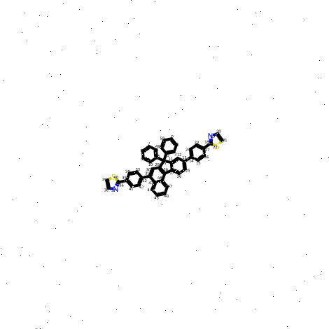 c1ccc(C2(c3ccccc3)c3cc(-c4ccc(-c5nccs5)cc4)ccc3-c3c2cc(-c2ccc(-c4nccs4)cc2)c2ccccc32)cc1